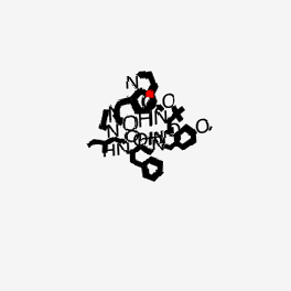 CCC(C)C(C(=O)NC(Cc1ccccc1)C(O)CN(Cc1ccc(OC)cc1)NC(=O)C(NC(=O)OC)C(C)(C)C)N1CCN(Cc2cccc3cccnc23)C1=O